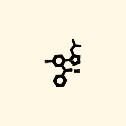 CN(C)Cc1ncnn1-c1ccc(Cl)cc1C(=O)c1ccccc1.Cl